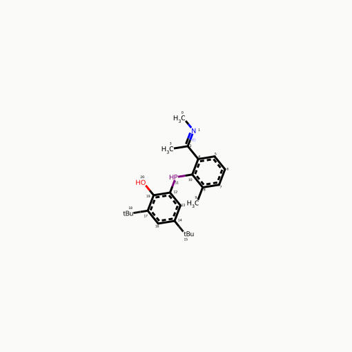 C/N=C(\C)c1cccc(C)c1Pc1cc(C(C)(C)C)cc(C(C)(C)C)c1O